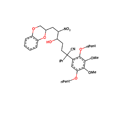 CCCCCOc1cc(C(C#N)(CCC(O)C(CC2COc3ccccc3O2)[N+](=O)[O-])C(C)C)c(OCCCCC)c(OC)c1OC